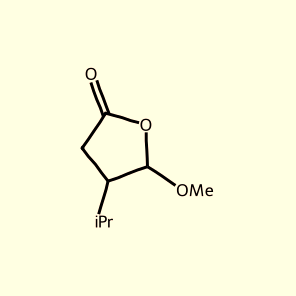 COC1OC(=O)CC1C(C)C